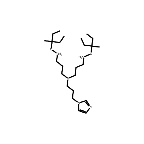 CCC(C)(CC)O[SiH2]CCCN(CCC[SiH2]OC(C)(CC)CC)CCCn1ccnc1